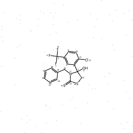 OC1(c2cc(C(F)(F)F)ccc2Cl)CSC(=S)N1Cc1cccnc1